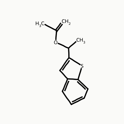 C=C(C)OC(C)c1cc2ccccc2s1